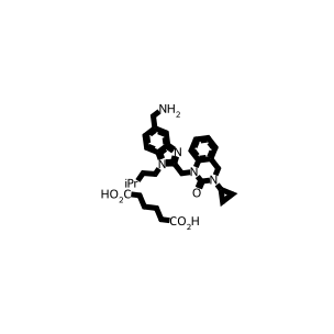 CC(C)CCn1c(CN2C(=O)N(C3CC3)Cc3ccccc32)nc2cc(CN)ccc21.O=C(O)CCCCC(=O)O